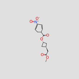 COC(=O)C[C@H]1C[C@H](OC(=O)C2C=CC([N+](=O)[O-])=CC2)C1